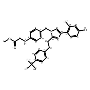 COC(=O)CNc1ccc(Cn2cc(-c3ccc(Cl)cc3Cl)nc2CCc2ccc(C(F)(F)F)cc2)cc1